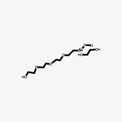 CCOCC.OCCO.OCCOCCOCCOCCO